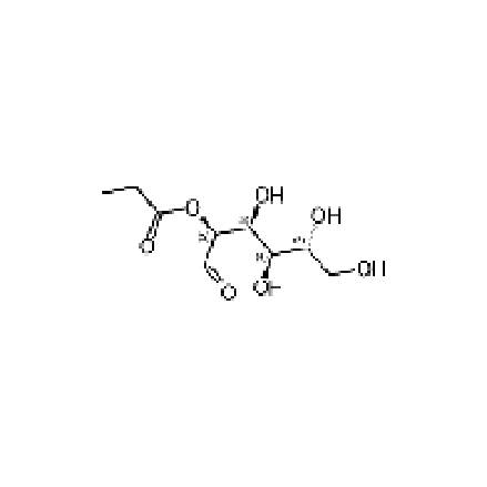 CCC(=O)O[C@H](C=O)[C@@H](O)[C@H](O)[C@H](O)CO